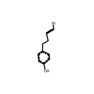 CC(=O)/C=C/CCc1ccc(O)cc1